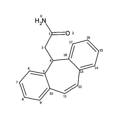 NC(=O)CC1c2ccccc2C=Cc2ccccc21